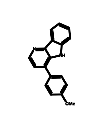 COc1ccc(-c2ccnc3c2[nH]c2ccccc23)cc1